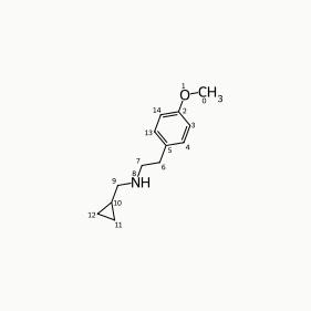 COc1ccc(CCNCC2CC2)cc1